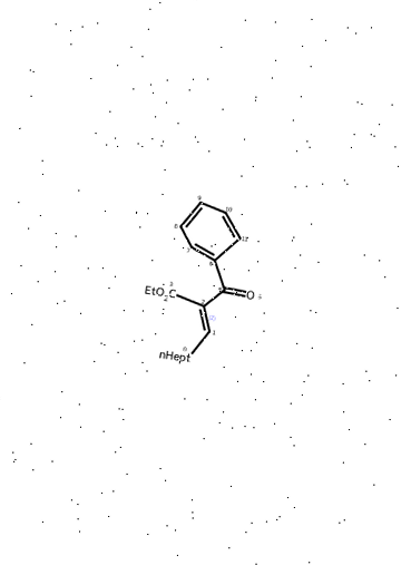 CCCCCCC/C=C(\C(=O)OCC)C(=O)c1ccccc1